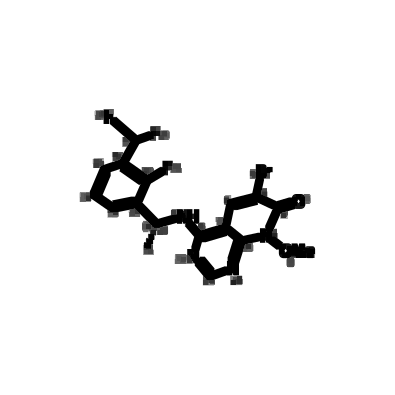 COn1c(=O)c(Br)cc2c(N[C@H](C)c3cccc(C(F)F)c3F)ncnc21